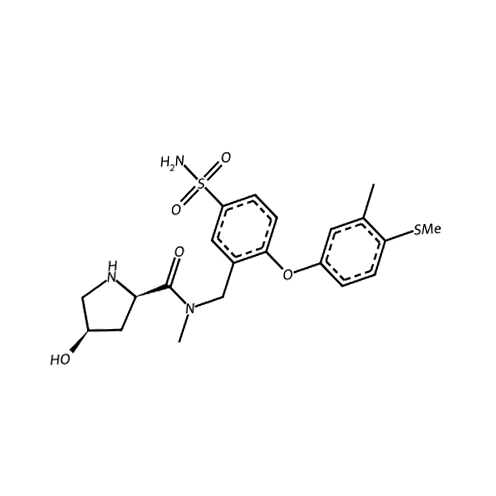 CSc1ccc(Oc2ccc(S(N)(=O)=O)cc2CN(C)C(=O)[C@H]2C[C@@H](O)CN2)cc1C